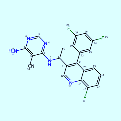 CC(Nc1ncnc(N)c1C#N)c1cnc2c(F)cccc2c1-c1cc(F)cc(F)c1